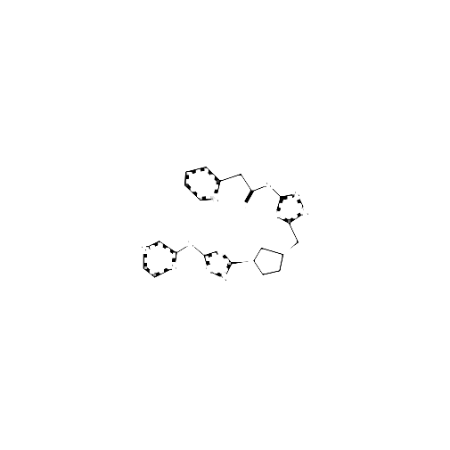 O=C(Cc1ccccn1)Nc1nnc(C[C@H]2CC[C@@H](c3nnc(Nc4cnccn4)s3)C2)s1